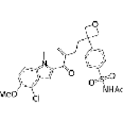 C=C(CCC1(c2ccc(S(=O)(=O)NC(C)=O)cc2)COC1)C(=O)c1cc2c(Cl)c(OC)ccc2n1C